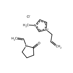 C=CC[n+]1ccn(C)c1.C=CN1CCCC1=O.[Cl-]